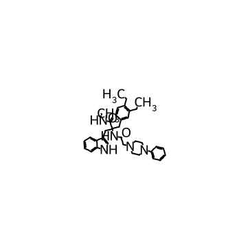 CCc1ccc(CC(Cc2c[nH]c3ccccc23)(NC(=O)CN2CCN(c3ccccc3)CC2)C(=O)NC)cc1CC